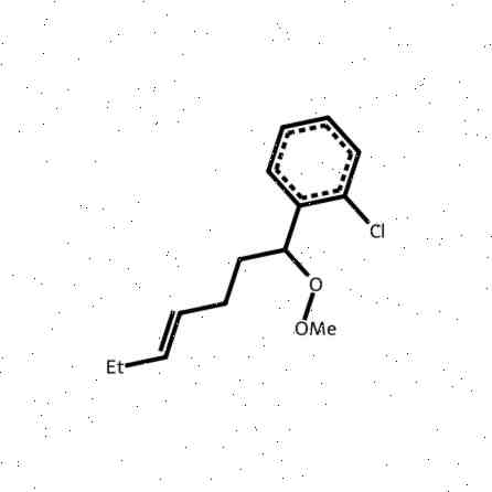 CCC=CCCC(OOC)c1ccccc1Cl